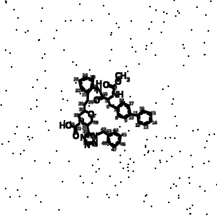 COC(=O)N[C@@H](Cc1ccc(-c2ccccc2)cc1)C(=O)Nc1ccccc1CC[C@@H]1CN(C(=O)O)[C@H](c2nnnn2Cc2ccccc2)CO1